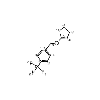 FC(F)(F)c1ccc(COC2CCCC2)cc1